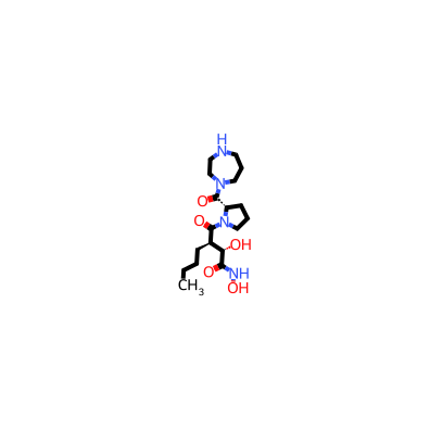 CCCC[C@@H](C(=O)N1CCC[C@H]1C(=O)N1CCCNCC1)[C@H](O)C(=O)NO